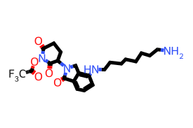 NCCCCCCCCNc1cccc2c1CN(C1CCC(=O)N(OC(=O)C(F)(F)F)C1=O)C2=O